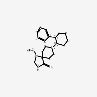 CCCCCCN1CNC(=O)C12CCN([C@@H]1CCCC[C@@H]1c1ccccc1)CC2